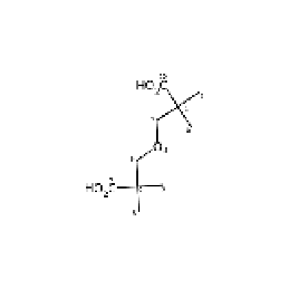 CC(C)(COCC(C)(C)C(=O)O)C(=O)O